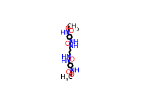 COC(=O)NC1CCC(NC(=O)NCCCCNC(=O)NC2CCC(NC(=O)OC)CC2)CC1